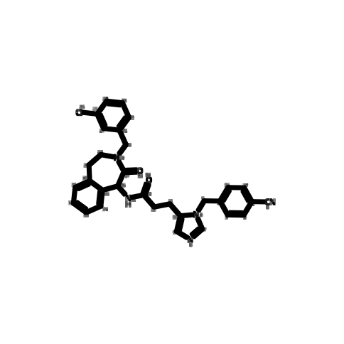 N#Cc1ccc(Cn2cncc2CCC(=O)NC2C(=O)N(Cc3cccc(Cl)c3)CCc3ccccc32)cc1